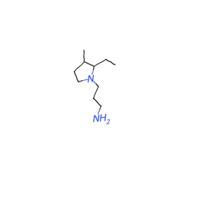 CCC1C(C)CCN1CCCN